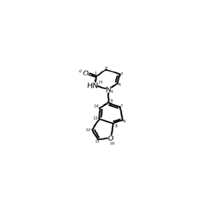 O=C1CC=CN(c2ccc3occc3c2)N1